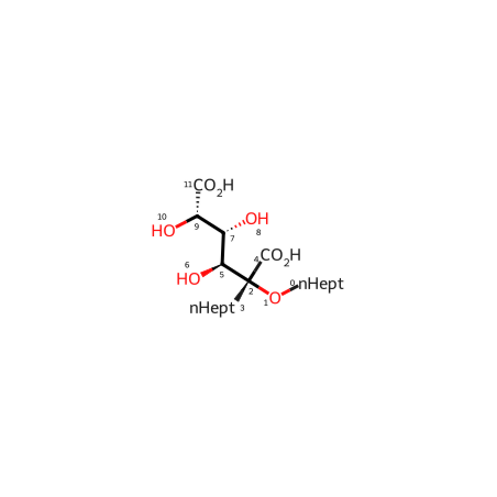 CCCCCCCO[C@@](CCCCCCC)(C(=O)O)[C@@H](O)[C@@H](O)[C@H](O)C(=O)O